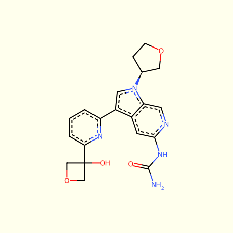 NC(=O)Nc1cc2c(-c3cccc(C4(O)COC4)n3)cn([C@H]3CCOC3)c2cn1